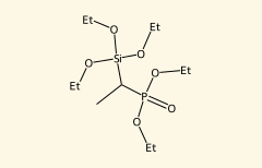 CCO[Si](OCC)(OCC)C(C)P(=O)(OCC)OCC